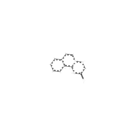 O=c1cnn2ccc3ccccc3c2n1